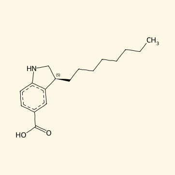 CCCCCCCC[C@@H]1CNc2ccc(C(=O)O)cc21